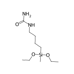 CCO[Si](C)(CCCCNC(N)=O)OCC